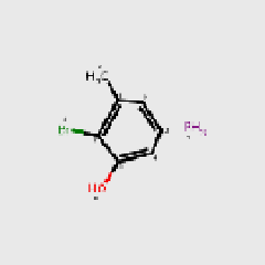 Cc1cccc(O)c1Br.P